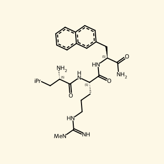 CNC(=N)NCCC[C@H](NC(=O)[C@@H](N)CC(C)C)C(=O)N[C@@H](Cc1ccc2ccccc2c1)C(N)=O